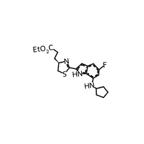 CCOC(=O)CC[C@@H]1CSC(c2cc3cc(F)cc(NC4CCCC4)c3[nH]2)=N1